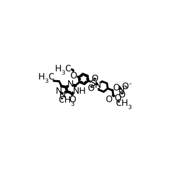 CCCc1nn(C)c2c(=O)[nH]c(-c3cc(S(=O)(=O)N4CCC(C(O[N+](=O)[O-])C(=O)OC)CC4)ccc3OCC)nc12